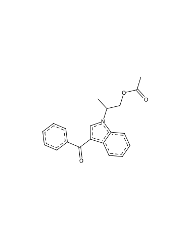 CC(=O)OCC(C)n1cc(C(=O)c2ccccc2)c2ccccc21